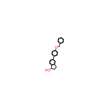 OC1CCc2cc(-c3ccc(OCc4ccccc4)cc3)ccc21